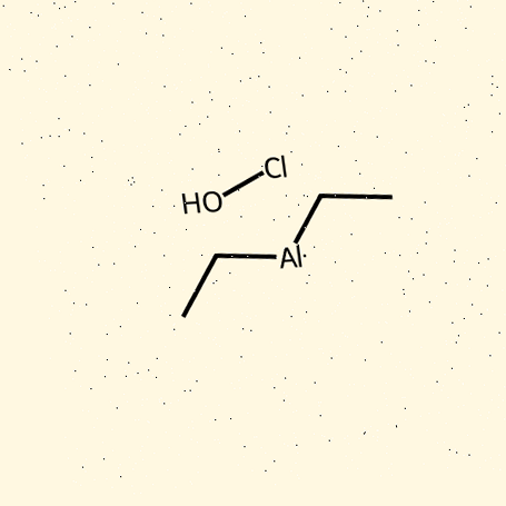 C[CH2][Al][CH2]C.OCl